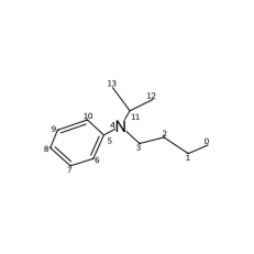 CCCCN(c1ccccc1)C(C)C